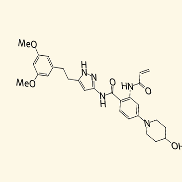 C=CC(=O)Nc1cc(N2CCC(O)CC2)ccc1C(=O)Nc1cc(CCc2cc(OC)cc(OC)c2)[nH]n1